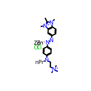 CCCN(CC[N+](C)(C)C)c1ccc(N=Nc2ccc3c(c2)[n+](C)c(C)n3C)cc1.[Cl][Zn-].[Cl][Zn-]